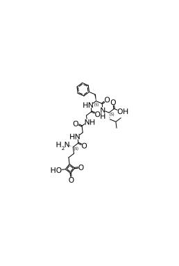 CC(C)C[C@H](NC(=O)[C@H](Cc1ccccc1)NC(=O)CNC(=O)CNC(=O)[C@@H](N)CCc1c(O)c(=O)c1=O)C(=O)O